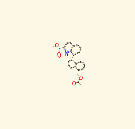 COC(=O)c1ccc2cccc(-c3cccc4c(COC(C)=O)cccc34)c2n1